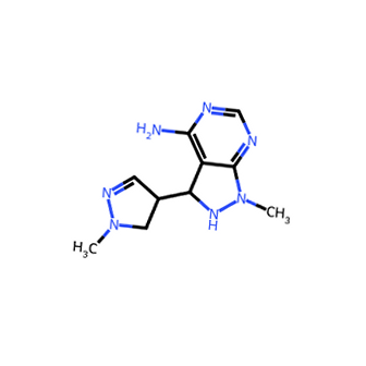 CN1CC(C2NN(C)c3ncnc(N)c32)C=N1